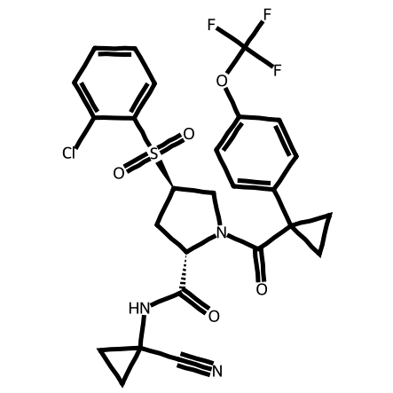 N#CC1(NC(=O)[C@@H]2C[C@@H](S(=O)(=O)c3ccccc3Cl)CN2C(=O)C2(c3ccc(OC(F)(F)F)cc3)CC2)CC1